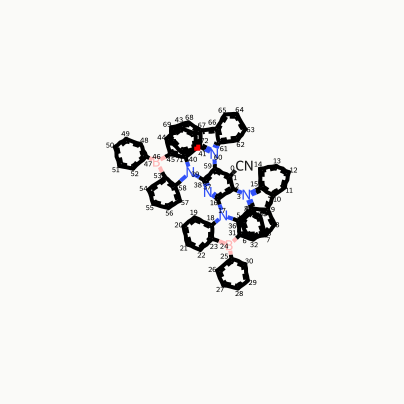 N#Cc1c(-n2c3ccccc3c3ccccc32)c(N2c3ccccc3B(c3ccccc3)c3ccccc32)nc(N2c3ccccc3B(c3ccccc3)c3ccccc32)c1-n1c2ccccc2c2ccccc21